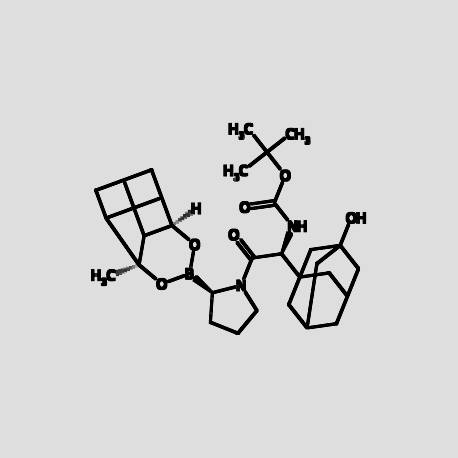 CC(C)(C)OC(=O)N[C@H](C(=O)N1CCC[C@H]1B1O[C@@H]2C3CC4CC5C43C2[C@@]5(C)O1)C12CC3CC(CC(O)(C3)C1)C2